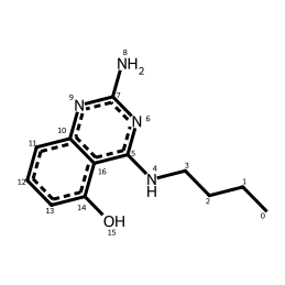 CCCCNc1nc(N)nc2cccc(O)c12